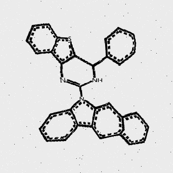 c1ccc(C2NC(n3c4ccccc4c4cc5ccccc5cc43)=Nc3c2sc2ccccc32)cc1